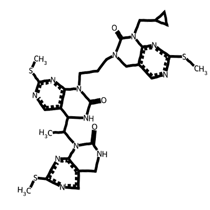 CSc1ncc2c(n1)N(CC1CC1)C(=O)N(CCCN1C(=O)NC(C(C)N3C(=O)NCc4cnc(SC)nc43)c3cnc(SC)nc31)C2